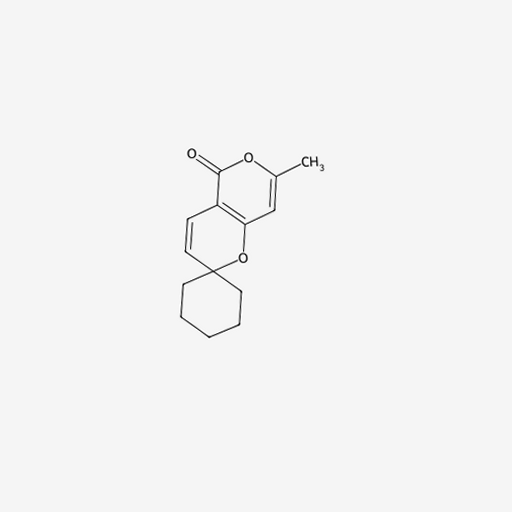 Cc1cc2c(c(=O)o1)C=CC1(CCCCC1)O2